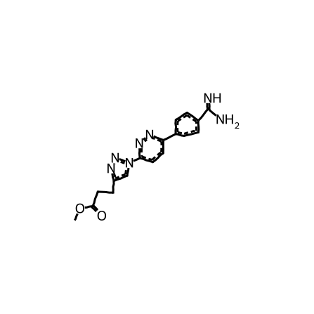 COC(=O)CCc1cn(-c2ccc(-c3ccc(C(=N)N)cc3)nn2)nn1